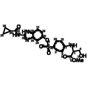 COC(=O)C(CO)Nc1ccc(S(=O)(=O)Oc2ccc3[nH]c(NC(=O)C4CC4)nc3c2)cc1